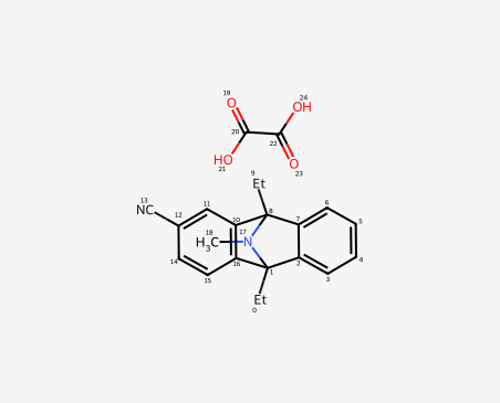 CCC12c3ccccc3C(CC)(c3cc(C#N)ccc31)N2C.O=C(O)C(=O)O